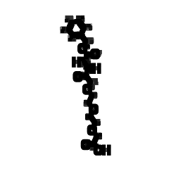 O=C(O)COCCOCCOCC(=O)NNC(=O)OCc1ccccc1